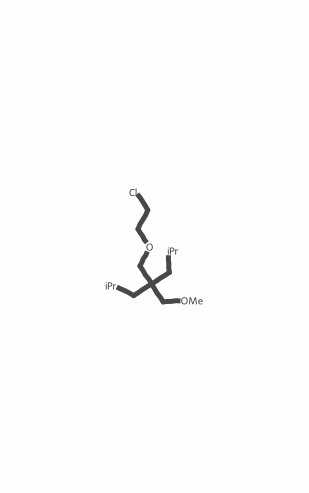 COCC(COCCCl)(CC(C)C)CC(C)C